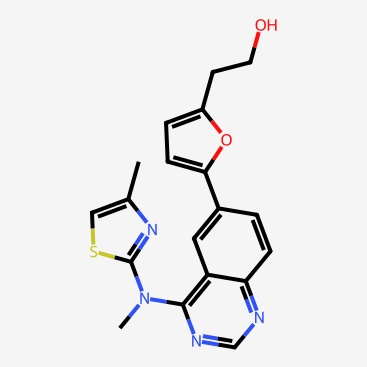 Cc1csc(N(C)c2ncnc3ccc(-c4ccc(CCO)o4)cc23)n1